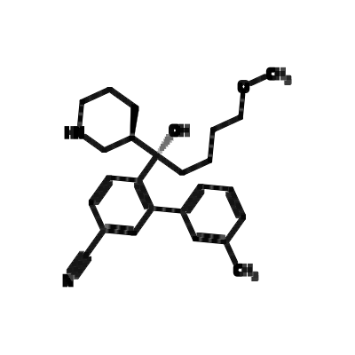 COCCCC[C@@](O)(c1ccc(C#N)cc1-c1cccc(C)c1)[C@@H]1CCCNC1